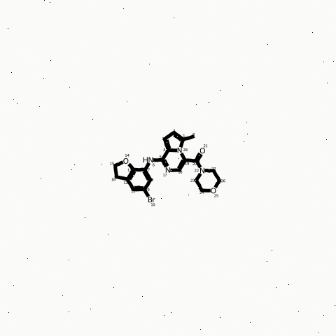 Cc1ccc2c(Nc3cc(Br)cc4c3OCC4)ncc(C(=O)N3CCOCC3)n12